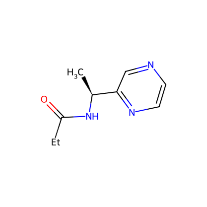 CCC(=O)N[C@@H](C)c1cnccn1